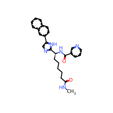 CNC(=O)CCCCC[C@H](NC(=O)c1cccnc1)c1ncc(-c2ccc3ccccc3c2)[nH]1